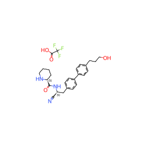 N#C[C@H](Cc1ccc(-c2ccc(CCCO)cc2)cc1)NC(=O)[C@@H]1CCCCN1.O=C(O)C(F)(F)F